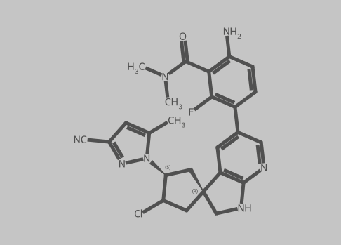 Cc1cc(C#N)nn1[C@H]1C[C@@]2(CNc3ncc(-c4ccc(N)c(C(=O)N(C)C)c4F)cc32)CC1Cl